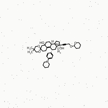 CC1(C)COC2(CCC3=C4[C@@H](CC[C@@]3(O)C2)[C@@H]2CC[C@@](O)(C#CCOC3CCCCO3)[C@@]2(C)C[C@@H]4c2ccc(N3CCCCC3)cc2)OC1